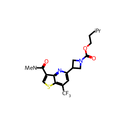 CNC(=O)c1csc2c(C(F)(F)F)cc(C3CN(C(=O)OCCC(C)C)C3)nc12